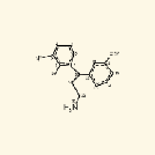 Cc1c(F)cccc1C(CCN)c1cccc(F)c1